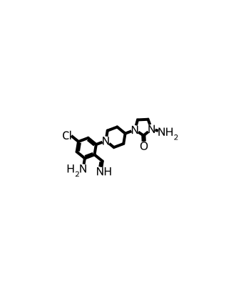 N=Cc1c(N)cc(Cl)cc1N1CCC(N2CCN(N)C2=O)CC1